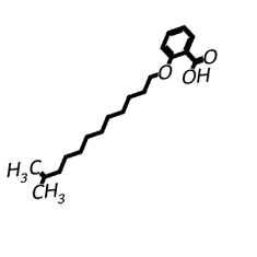 CC(C)CCCCCCCCCCOc1ccccc1C(=O)O